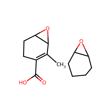 C1CCC2OC2C1.CC1=C(C(=O)O)CCC2OC12